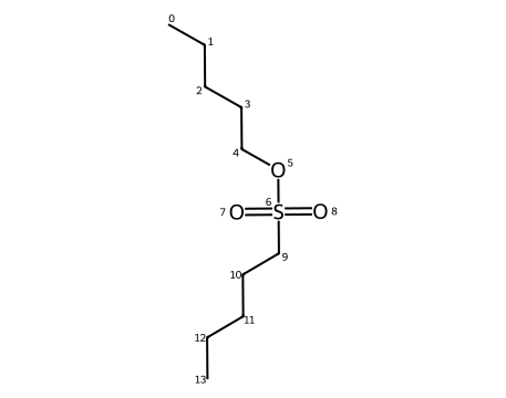 CCCCCOS(=O)(=O)CCCCC